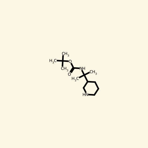 CC(C)(C)OC(=O)NC(C)(C)C1CCCNC1